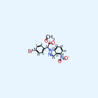 COC(=O)C(c1ccc(Br)cc1)n1ncc2c([N+](=O)[O-])cccc21